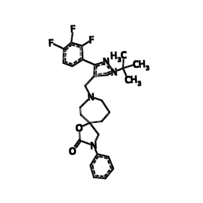 CC(C)(C)n1cc(CN2CCCC3(CC2)CN(c2ccccc2)C(=O)O3)c(-c2ccc(F)c(F)c2F)n1